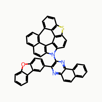 c1ccc2c(c1)ccc1nc(-c3ccc4oc5ccccc5c4c3)c(-n3c4ccc5cccc6c5c4c4c5c(ccc43)sc3cccc-6c35)nc12